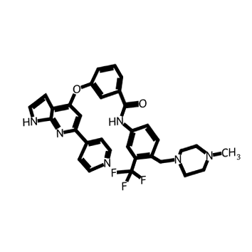 CN1CCN(Cc2ccc(NC(=O)c3cccc(Oc4cc(-c5ccncc5)nc5[nH]ccc45)c3)cc2C(F)(F)F)CC1